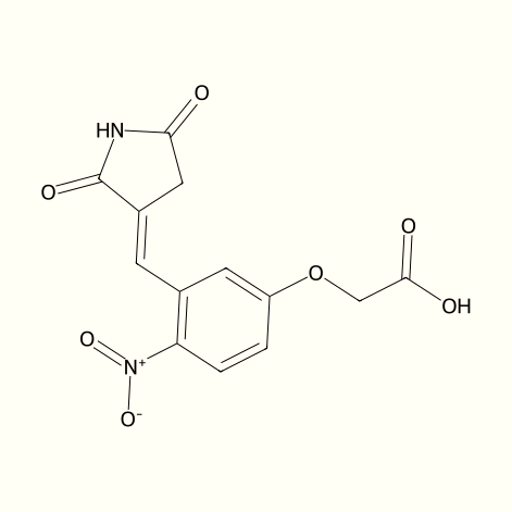 O=C(O)COc1ccc([N+](=O)[O-])c(/C=C2\CC(=O)NC2=O)c1